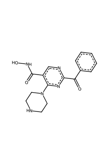 O=C(c1ccccc1)c1ncc(C(=O)NO)c(N2CCNCC2)n1